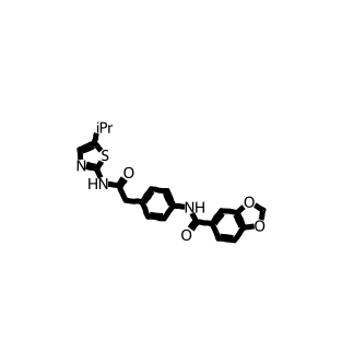 CC(C)c1cnc(NC(=O)Cc2ccc(NC(=O)c3ccc4c(c3)OCO4)cc2)s1